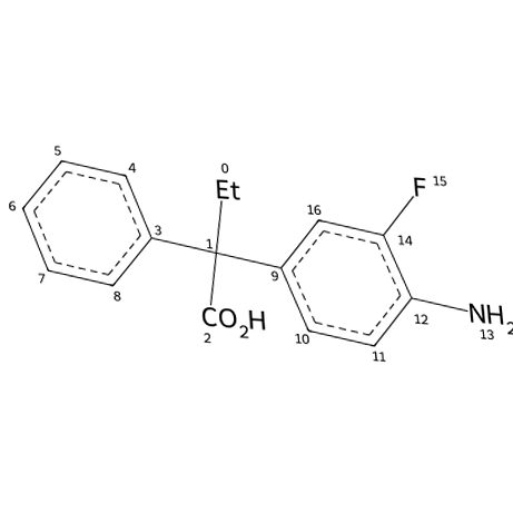 CCC(C(=O)O)(c1ccccc1)c1ccc(N)c(F)c1